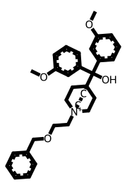 COc1cccc(C(O)(c2cccc(OC)c2)C23CC[N+](CCOCc4ccccc4)(CC2)CC3)c1